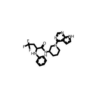 O=C(NC1CCCN(c2ncnc3[nH]ccc23)C1)C(CC(F)(F)F)Nc1ccccc1